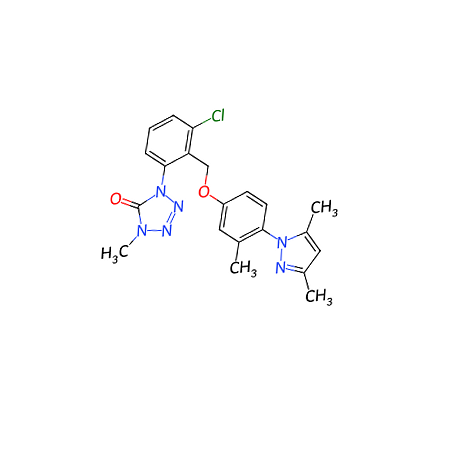 Cc1cc(C)n(-c2ccc(OCc3c(Cl)cccc3-n3nnn(C)c3=O)cc2C)n1